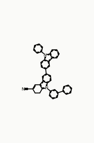 N#CC1=Cc2c(n(-c3cccc(-c4ccccc4)c3)c3ccc(-c4ccc5c(c4)c4ccccc4n5-c4ccccc4)cc23)CC1